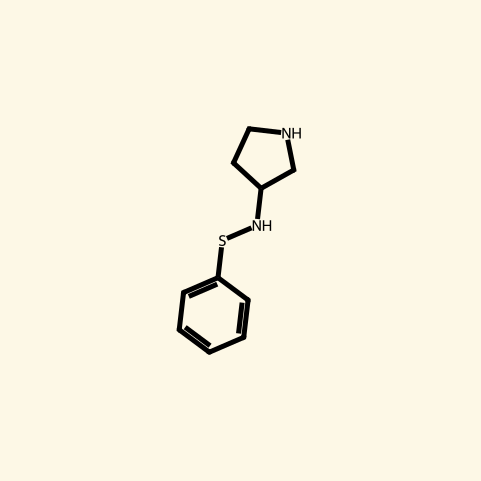 c1ccc(SNC2CCNC2)cc1